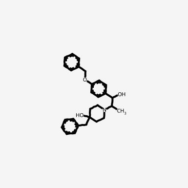 CC(C(O)c1ccc(OCc2ccccc2)cc1)N1CCC(O)(Cc2ccccc2)CC1